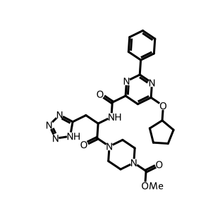 COC(=O)N1CCN(C(=O)C(Cc2nnn[nH]2)NC(=O)c2cc(OC3CCCC3)nc(-c3ccccc3)n2)CC1